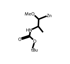 CO[CH]([Zn])C(C)NC(=O)OC(C)(C)C